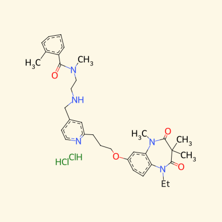 CCN1C(=O)C(C)(C)C(=O)N(C)c2cc(OCCCc3cc(CNCCN(C)C(=O)c4ccccc4C)ccn3)ccc21.Cl.Cl